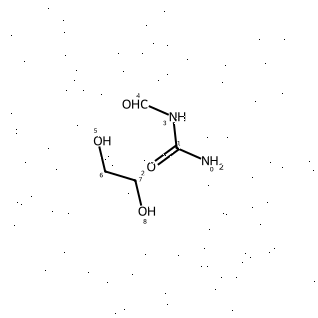 NC(=O)NC=O.OCCO